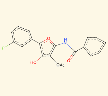 CC(=O)Oc1c(NC(=O)c2ccccc2)oc(-c2cccc(F)c2)c1O